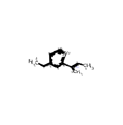 C/C=C(\C)c1cc(CC)ccn1